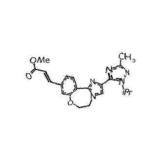 COC(=O)C=Cc1ccc2c(c1)OCCn1cc(-c3nc(C)nn3C(C)C)nc1-2